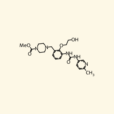 COC(=O)N1CCN(Cc2cccc(NC(=O)Nc3ccc(C)nc3)c2OCCO)CC1